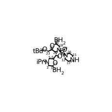 BC1CN(C(C)C)CC(COP(=O)(N2CCNCC2)N2CC(B)OC(COC(C)(C)C)C2)O1